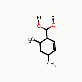 CCOC(OCC)C1C=CC(C)CC1C